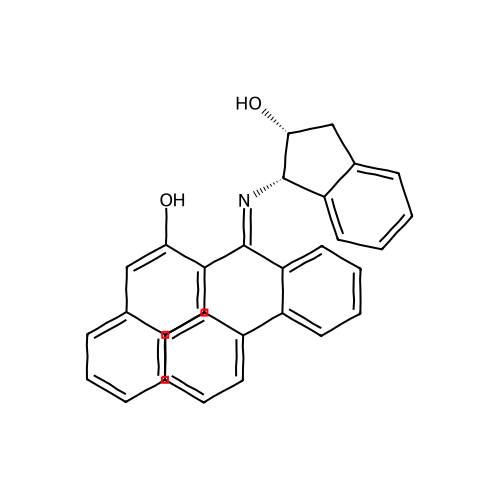 Oc1cc2ccccc2cc1C(=N[C@H]1c2ccccc2C[C@H]1O)c1ccccc1-c1ccccc1